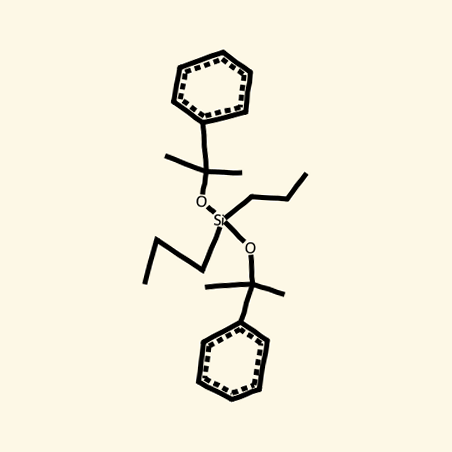 CCC[Si](CCC)(OC(C)(C)c1ccccc1)OC(C)(C)c1ccccc1